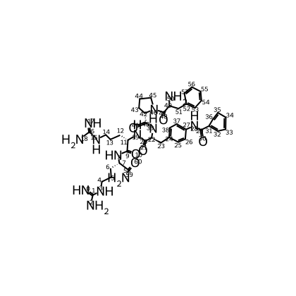 N=C(N)NCCC[C@H](NC(=O)[C@H](CCCNC(=N)N)NC(=O)[C@H](Cc1ccc(NC(=O)c2ccccc2)cc1)NC(=O)[C@@H]1CCCN1C(=O)[C@@H](N)Cc1ccccc1)C(N)=O